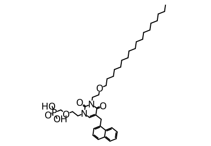 CCCCCCCCCCCCCCCCCCOCCn1c(=O)c(Cc2cccc3ccccc23)cn(CCOCP(=O)(O)O)c1=O